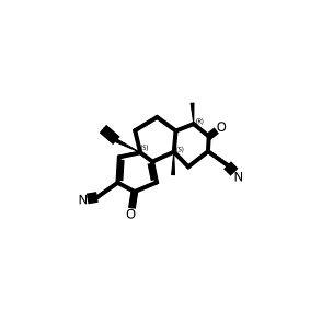 C#C[C@]12C=C(C#N)C(=O)C=C1[C@@]1(C)CC(C#N)C(=O)[C@H](C)C1CC2